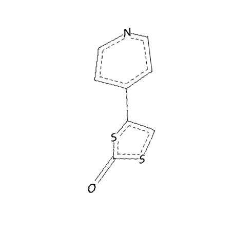 O=c1scc(-c2ccncc2)s1